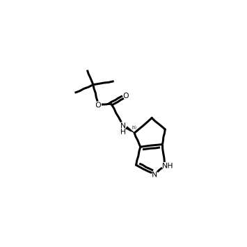 CC(C)(C)OC(=O)N[C@H]1CCc2[nH]ncc21